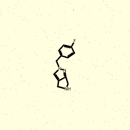 Fc1ccc(Cn2cc3c(n2)CNC3)cc1